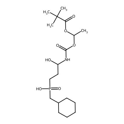 CC(OC(=O)NC(O)CCP(=O)(O)CC1CCCCC1)OC(=O)C(C)(C)C